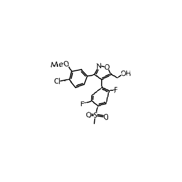 COc1cc(-c2noc(CO)c2-c2cc(F)c(S(C)(=O)=O)cc2F)ccc1Cl